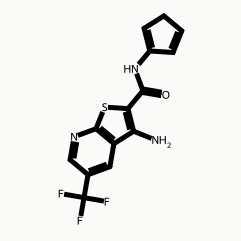 Nc1c(C(=O)NC2=CCC=C2)sc2ncc(C(F)(F)F)cc12